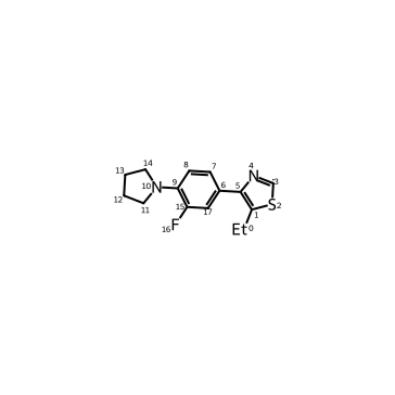 CCc1s[c]nc1-c1ccc(N2CCCC2)c(F)c1